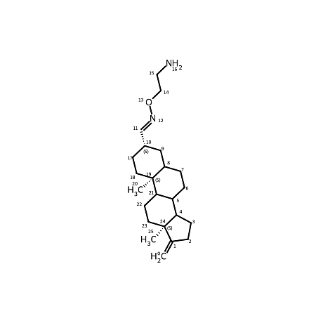 C=C1CCC2C3CCC4C[C@@H](C=NOCCN)CC[C@]4(C)C3CC[C@]12C